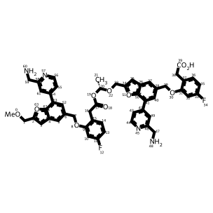 COCc1cc2cc(COc3cc(F)ccc3CC(=O)O[C@H](C)OCc3cc4cc(COc5cc(F)ccc5CC(=O)O)cc(-c5ccnc(CN)c5)c4o3)cc(-c3ccnc(CN)c3)c2o1